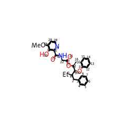 CC[C@H](Cc1ccccc1)[C@@H](Oc1ccccc1)[C@H](C)OC(=O)CNC(=O)c1nccc(OC)c1O